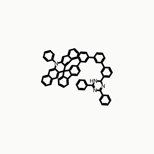 c1ccc(C2=NC(c3cccc(-c4cccc(-c5cccc(-c6ccc7c(c6)C6(c8ccccc8-7)c7cc8ccccc8cc7N(c7ccccc7)c7cc8ccccc8cc76)c5)c4)c3)NC(c3ccccc3)=N2)cc1